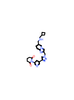 O=C1CCCC(=O)N1c1cncc(-c2cn(Cc3cn4cc(CNCC5CCC5)ccc4n3)nn2)c1